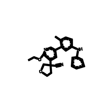 CCOc1ncc(-c2cc(Nc3ccccc3)ccc2C)cc1C1(C#N)CCOC1